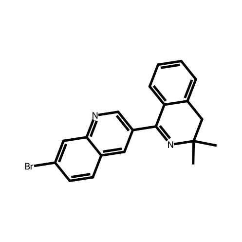 CC1(C)Cc2ccccc2C(c2cnc3cc(Br)ccc3c2)=N1